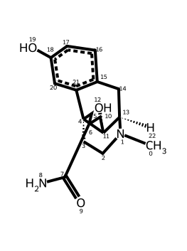 CN1CC[C@]23CC(C(N)=O)C[C@@]2(O)[C@H]1Cc1ccc(O)cc13